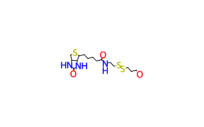 O=CCCSSCCNC(=O)CCCCC1SCC2NC(=O)NC21